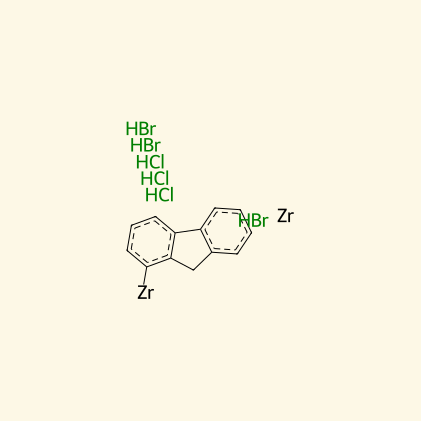 Br.Br.Br.Cl.Cl.Cl.[Zr].[Zr][c]1cccc2c1Cc1ccccc1-2